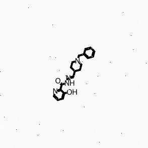 O=C(N/N=C/C1CCN(Cc2ccccc2)CC1)c1ncccc1O